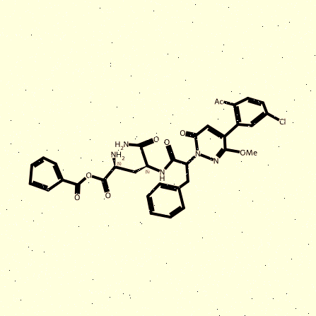 COc1nn(C(Cc2ccccc2)C(=O)N[C@@H](C[C@H](N)C(=O)OC(=O)c2ccccc2)C(N)=O)c(=O)cc1-c1cc(Cl)ccc1C(C)=O